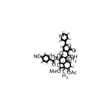 COC(=O)[C@@]1(C)C2C[C@H](OC(=O)c3ccc(C#N)cc3)[C@@]3(C)Oc4cc(-c5cccnc5)oc(=O)c4[C@H](O)C3[C@@]2(C)CC[C@@H]1OC(C)=O